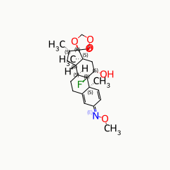 CO/N=C1\C=C[C@@]2(C)C(=C1)CC[C@H]1[C@@H]3C[C@H](C)[C@@]4(OCOC45COCO5)[C@@]3(C)C[C@H](O)[C@@]12F